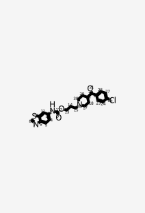 O=C(Nc1ccc2ncsc2c1)OCCCN1CCC(C(=O)c2ccc(Cl)cc2)CC1